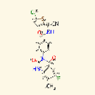 Cc1cc2[nH]c(=O)n(-c3ccc(C(=O)NC(C#N)c4ccc(Cl)s4)cc3)c(=O)c2cc1F